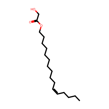 CCCC/C=C\CCCCCCCCCCOC(=O)CO